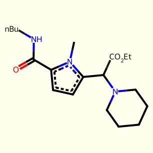 CCCCNC(=O)c1ccc(C(C(=O)OCC)N2CCCCC2)n1C